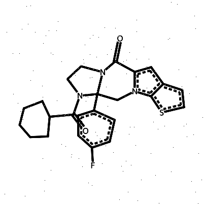 O=C1c2cc3ccsc3n2CC2(c3ccc(F)cc3)N1CCN2C(=O)C1CCCCC1